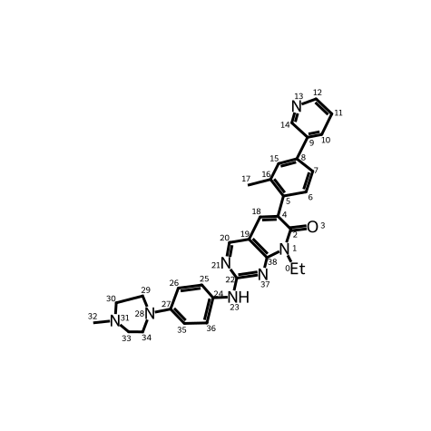 CCn1c(=O)c(-c2ccc(-c3cccnc3)cc2C)cc2cnc(Nc3ccc(N4CCN(C)CC4)cc3)nc21